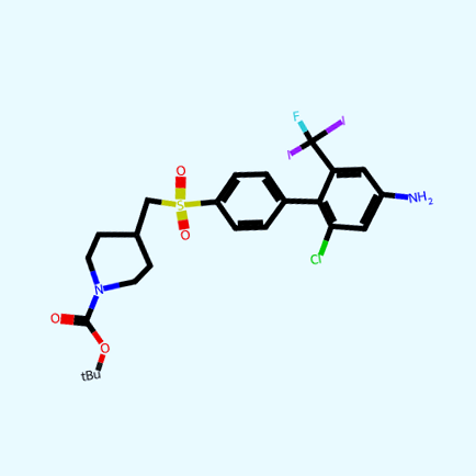 CC(C)(C)OC(=O)N1CCC(CS(=O)(=O)c2ccc(-c3c(Cl)cc(N)cc3C(F)(I)I)cc2)CC1